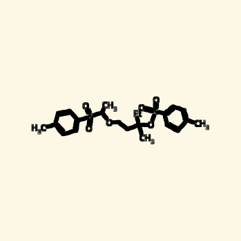 CCC(C)(CCOC(C)S(=O)(=O)c1ccc(C)cc1)OS(=O)(=O)c1ccc(C)cc1